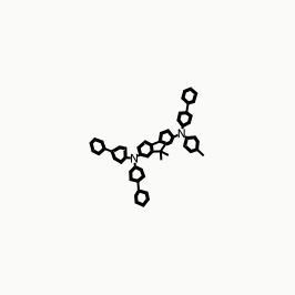 Cc1ccc(N(c2ccc(-c3ccccc3)cc2)c2ccc3c(c2)C(C)(C)c2cc(N(c4ccc(-c5ccccc5)cc4)c4ccc(-c5ccccc5)cc4)ccc2-3)cc1